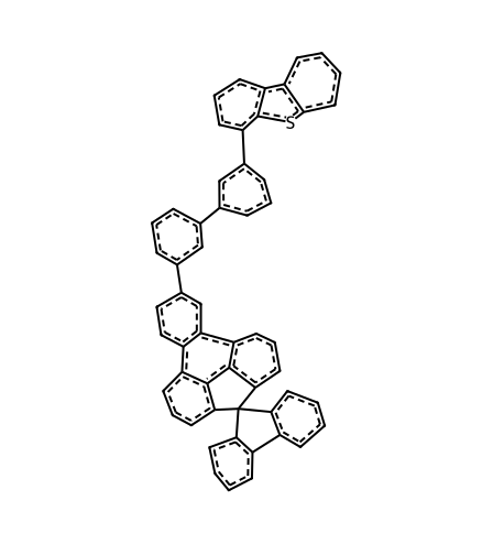 c1cc(-c2cccc(-c3cccc4c3sc3ccccc34)c2)cc(-c2ccc3c(c2)c2cccc4c2c2c(cccc32)C42c3ccccc3-c3ccccc32)c1